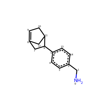 NCc1ccc(C2CC3=CCC2C3)cc1